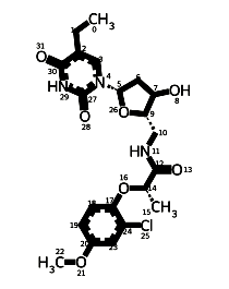 CCc1cn([C@@H]2CC(O)[C@H](CNC(=O)[C@H](C)Oc3ccc(OC)cc3Cl)O2)c(=O)[nH]c1=O